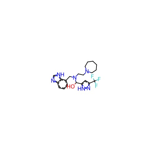 OC(c1cc(C(F)(F)F)n[nH]1)N(CCN1CCCCCC1)Cc1cccc2nc[nH]c12